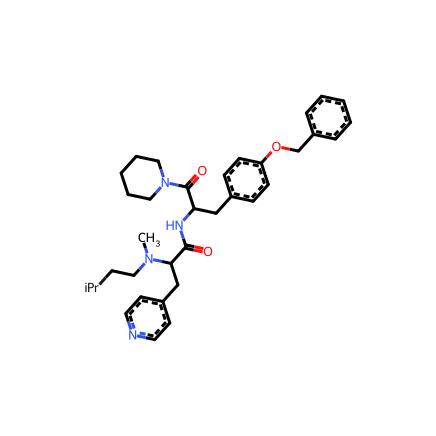 CC(C)CCN(C)C(Cc1ccncc1)C(=O)NC(Cc1ccc(OCc2ccccc2)cc1)C(=O)N1CCCCC1